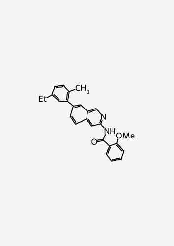 CCc1ccc(C)c(-c2ccc3cc(NC(=O)c4ccccc4OC)ncc3c2)c1